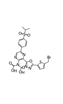 CC(C)S(=O)(=O)c1ccc(-c2cnc(N(C(=O)O)C(=O)O)c(-c3nnc(-c4ccc(CBr)s4)o3)n2)cc1